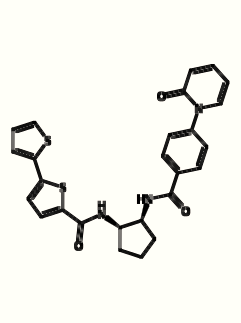 O=C(N[C@H]1CCC[C@H]1NC(=O)c1ccc(-c2cccs2)s1)c1ccc(-n2ccccc2=O)cc1